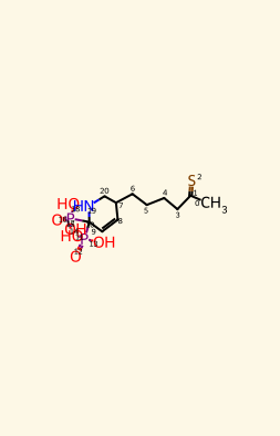 CC(=S)CCCCC1C=CC(P(=O)(O)O)(P(=O)(O)O)NC1